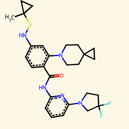 CC1(SNc2ccc(C(=O)Nc3cccc(N4CCC(F)(F)C4)n3)c(N3CCC4(CC3)CC4)c2)CC1